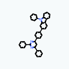 c1ccc(-c2cc(-c3ccc(-c4ccc5c6ccccc6n(-c6ccccc6)c5c4)cc3)nc(-c3ccccc3)n2)cc1